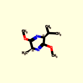 COC1=N[C@H](C)C(OC)=N[C@H]1C(C)C